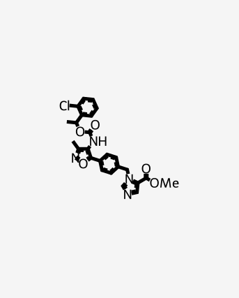 COC(=O)c1cncn1Cc1ccc(-c2onc(C)c2NC(=O)OC(C)c2ccccc2Cl)cc1